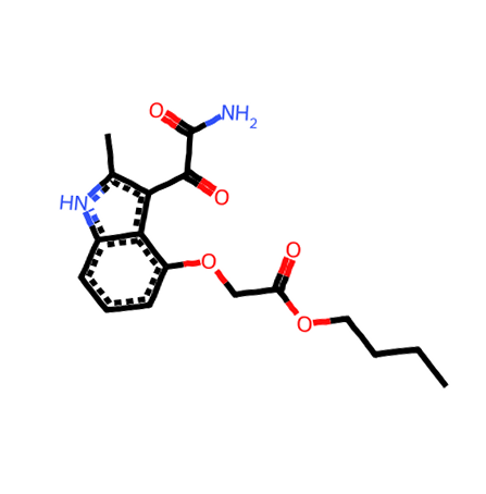 CCCCOC(=O)COc1cccc2[nH]c(C)c(C(=O)C(N)=O)c12